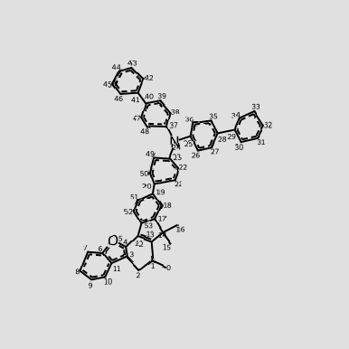 CC1Cc2c(oc3ccccc23)C2=C1C(C)(C)c1cc(-c3ccc(N(c4ccc(-c5ccccc5)cc4)c4ccc(-c5ccccc5)cc4)cc3)ccc12